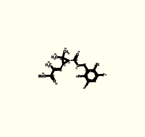 CCc1c(F)cc(F)c(F)c1COC(=O)[C@@H]1[C@@H](/C=C(\C)C(=O)OC)C1(C)C